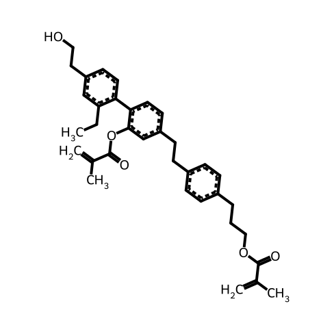 C=C(C)C(=O)OCCCc1ccc(CCc2ccc(-c3ccc(CCO)cc3CC)c(OC(=O)C(=C)C)c2)cc1